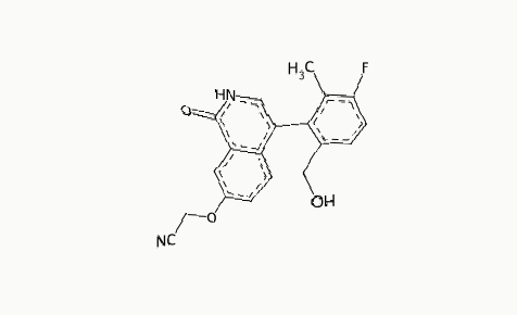 Cc1c(F)ccc(CO)c1-c1c[nH]c(=O)c2cc(OCC#N)ccc12